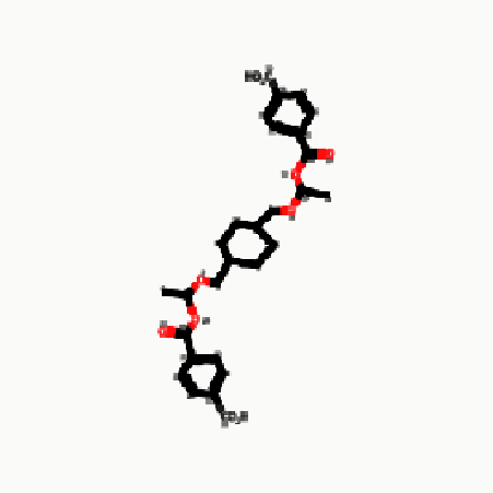 CC(OCC1CCC(COC(C)OC(=O)c2ccc(C(=O)O)cc2)CC1)OC(=O)c1ccc(C(=O)O)cc1